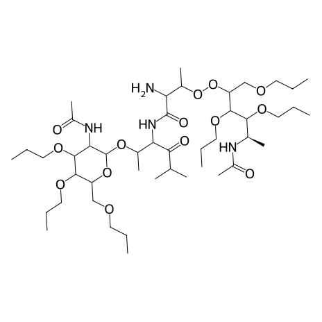 CCCOCC1OC(OC(C)C(NC(=O)C(N)C(C)OOC(COCCC)C(OCCC)C(OCCC)[C@@H](C)NC(C)=O)C(=O)C(C)C)C(NC(C)=O)C(OCCC)C1OCCC